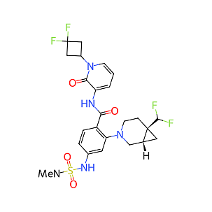 CNS(=O)(=O)Nc1ccc(C(=O)Nc2cccn(C3CC(F)(F)C3)c2=O)c(N2CC[C@]3(C(F)F)C[C@@H]3C2)c1